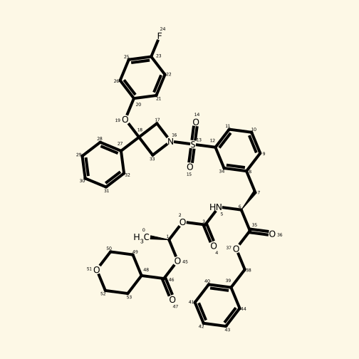 C[C@@H](OC(=O)N[C@@H](Cc1cccc(S(=O)(=O)N2CC(Oc3ccc(F)cc3)(c3ccccc3)C2)c1)C(=O)OCc1ccccc1)OC(=O)C1CCOCC1